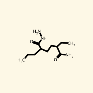 CCCC(CCC(CC)C(N)=O)C(=O)NN